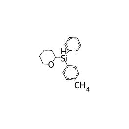 C.c1ccc([SiH](c2ccccc2)C2CCCCO2)cc1